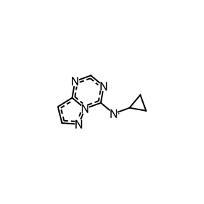 c1nc([N]C2CC2)n2nccc2n1